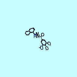 COc1cc(C(=O)N/N=C/c2cccc3ccccc23)cc(OC)c1OC